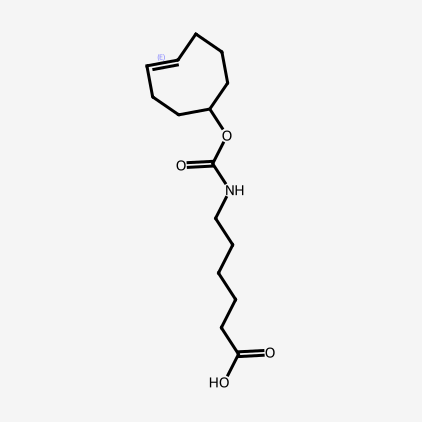 O=C(O)CCCCCNC(=O)OC1CC/C=C/CCC1